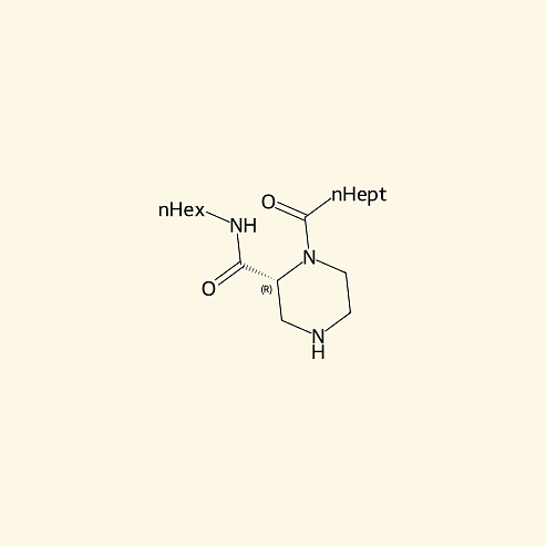 CCCCCCCC(=O)N1CCNC[C@@H]1C(=O)NCCCCCC